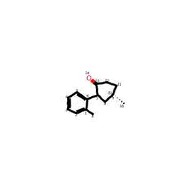 Cc1ccccc1C1C[C@@H](C)CCC1=O